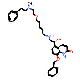 CN(CCOCCCCCNC[C@H](O)c1ccc(OCc2ccccc2)c2[nH]c(=O)ccc12)CCc1ccccc1